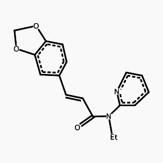 CCN(C(=O)/C=C/c1ccc2c(c1)OCO2)c1ccccn1